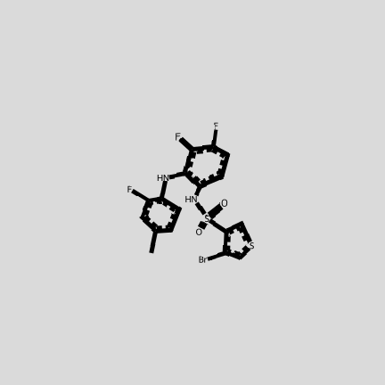 Cc1ccc(Nc2c(NS(=O)(=O)c3cscc3Br)ccc(F)c2F)c(F)c1